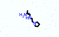 C/C(N)=C/NCCN1CCCC1